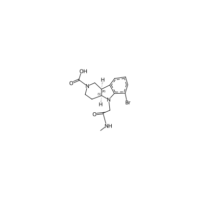 CNC(=O)CN1c2c(Br)cccc2[C@@H]2CN(C(=O)O)CC[C@@H]21